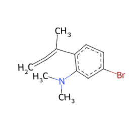 C=C=C(C)c1ccc(Br)cc1N(C)C